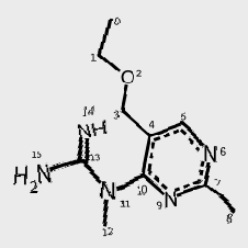 CCOCc1cnc(C)nc1N(C)C(=N)N